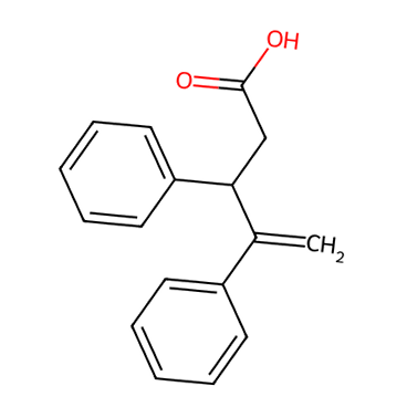 C=C(c1ccccc1)C(CC(=O)O)c1ccccc1